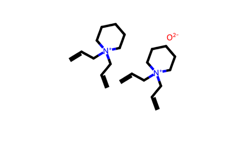 C=CC[N+]1(CC=C)CCCCC1.C=CC[N+]1(CC=C)CCCCC1.[O-2]